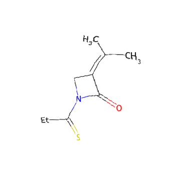 CCC(=S)N1CC(=C(C)C)C1=O